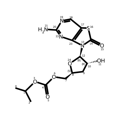 CC(C)OC(=O)OC[C@@H]1C[C@@H](O)[C@H](n2c(=O)sc3cnc(N)nc32)O1